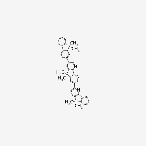 CC1(C)c2ccccc2-c2ccc(-c3cnc4c(c3)C(C)(C)C3C=C(c5ccc6c(n5)-c5ccccc5C6(C)C)C=NC43)cc21